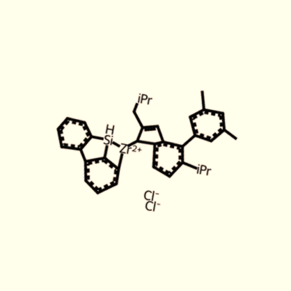 Cc1cc(C)cc(-c2c(C(C)C)ccc3c2C=C(CC(C)C)[CH]3[Zr+2]2[c]3cccc4c3[SiH]2c2ccccc2-4)c1.[Cl-].[Cl-]